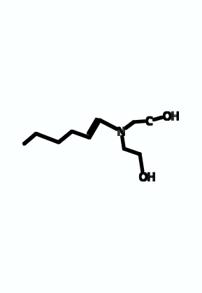 CCCCC=CN(CCO)CCO